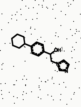 OC(Cn1ccnc1)c1ccc(C2CCCCC2)cc1